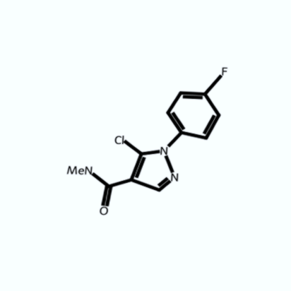 CNC(=O)c1cnn(-c2ccc(F)cc2)c1Cl